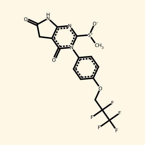 C[S+]([O-])c1nc2c(c(=O)n1-c1ccc(OCC(F)(F)C(F)(F)F)cc1)CC(=O)N2